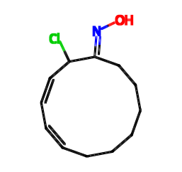 ON=C1CCCCCCC=CC=CC1Cl